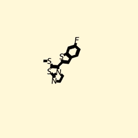 CSC1=C(c2cc3ccc(F)cc3s2)N2CCN=C2S1